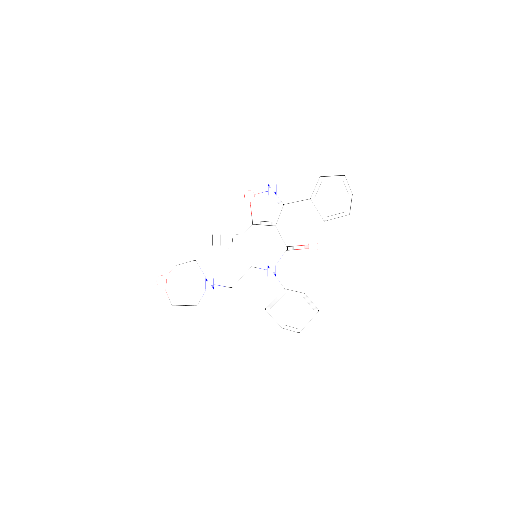 Cc1onc(-c2ccccc2)c1C(=O)N(CCN1CCOCC1)c1ccccc1